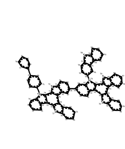 c1ccc(-c2ccc(-n3c4ccccc4c4c5sc6ccccc6c5c5c6cc(-c7ccc8c9c%10sc%11ccccc%11c%10c%10c%11ccccc%11sc%10c9n(-c9ccc%10sc%11ccccc%11c%10c9)c8c7)ccc6sc5c43)cc2)cc1